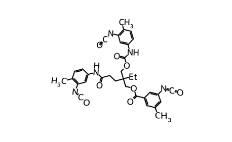 CCC(CCC(=O)Nc1ccc(C)c(N=C=O)c1)(COC(=O)Nc1ccc(C)c(N=C=O)c1)COC(=O)c1cc(C)cc(N=C=O)c1